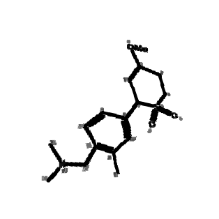 COC1CCS(=O)(=O)C(c2ccc(CN(C)C)c(C)c2)C1